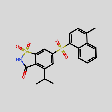 Cc1ccc(S(=O)(=O)c2cc(C(C)C)c3c(c2)S(=O)(=O)NC3=O)c2ccccc12